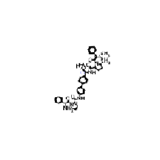 C=C(N/C(=C\N)c1ccc(-c2ccc(NC(=O)[C@@H]3CCCN3C(=O)C(N)c3ccccc3)cc2)cc1)[C@@H]1CCCN1C(=O)[C@@H](c1ccccc1)N(C)C